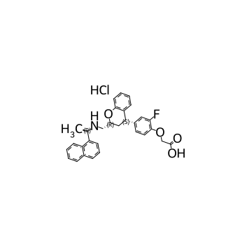 C[C@@H](NC[C@H]1C[C@@H](c2ccc(OCC(=O)O)c(F)c2)c2ccccc2O1)c1cccc2ccccc12.Cl